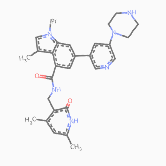 Cc1cc(C)c(CNC(=O)c2cc(-c3cncc(N4CCNCC4)c3)cc3c2c(C)cn3C(C)C)c(=O)[nH]1